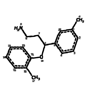 Cc1cccc(C(CCN)Oc2ccccc2C)c1